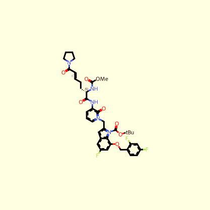 COC(=O)N[C@@H](CC/C=C/C(=O)N1CCCC1)C(=O)Nc1cccn(Cc2cc3cc(F)cc(OCc4ccc(F)cc4F)c3n2C(=O)OC(C)(C)C)c1=O